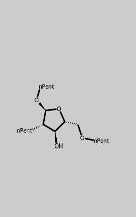 CCCCCOC[C@H]1O[C@H](OCCCCC)[C@@H](CCCCC)[C@@H]1O